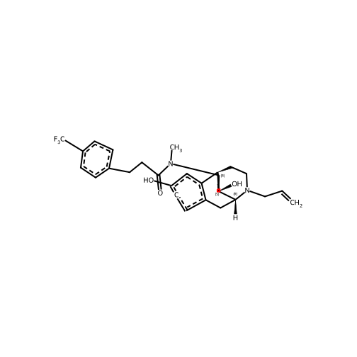 C=CCN1CC[C@]23CC(N(C)C(=O)CCc4ccc(C(F)(F)F)cc4)CC[C@@]2(O)[C@H]1Cc1ccc(O)cc13